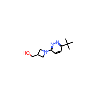 CC(C)(C)c1ccc(N2CC(CO)C2)nn1